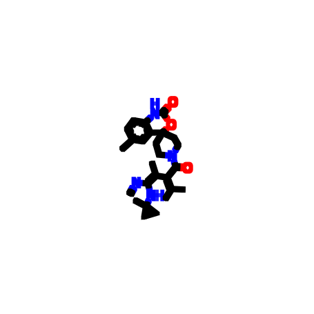 C=N/C(NC1(C)CC1)=C(\C)C(C(=O)N1CCC2(CC1)OC(=O)Nc1ccc(C)cc12)=C(C)C